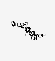 N#CC(CO)C1CCN(c2ccc(N3C[C@H](COc4ccon4)OC3=O)cc2F)CC1